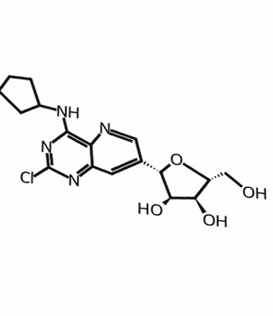 OC[C@H]1O[C@@H](c2cnc3c(NC4CCCC4)nc(Cl)nc3c2)[C@H](O)[C@@H]1O